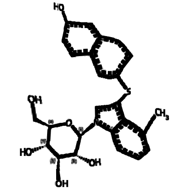 Cc1cccc2c1c(Sc1ccc3cc(O)ccc3c1)cn2[C@@H]1O[C@H](CO)[C@@H](O)[C@H](O)[C@H]1O